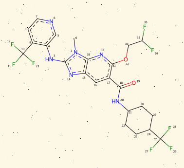 Cn1c(Nc2cnccc2C(F)(F)F)nc2cc(C(=O)NC3CCC(C(F)(F)F)CC3)c(OCC(F)F)nc21